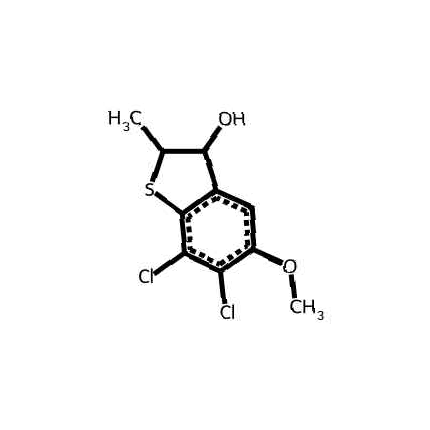 COc1cc2c(c(Cl)c1Cl)SC(C)C2O